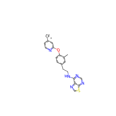 Cc1cc(CCNc2ncnc3scnc23)ccc1Oc1cc(C(F)(F)F)ccn1